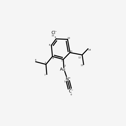 [C-]#[N+][Au][c]1c(C(C)C)cccc1C(C)C.[Cl-]